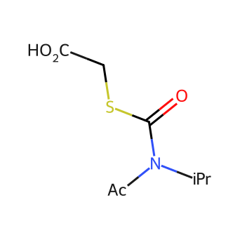 CC(=O)N(C(=O)SCC(=O)O)C(C)C